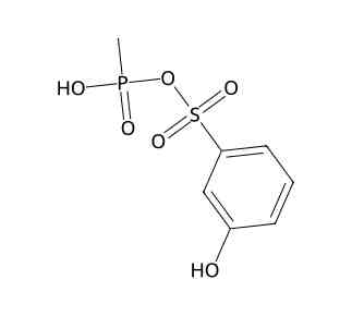 CP(=O)(O)OS(=O)(=O)c1cccc(O)c1